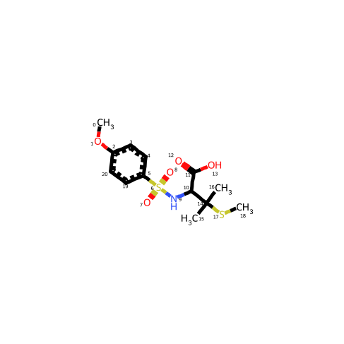 COc1ccc(S(=O)(=O)NC(C(=O)O)C(C)(C)SC)cc1